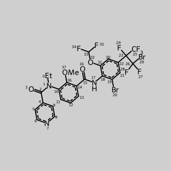 CCN(C(=O)c1ccncc1)c1cccc(C(=O)Nc2c(Br)cc(C(F)(C(F)(F)F)C(F)(F)Br)cc2OC(F)F)c1OC